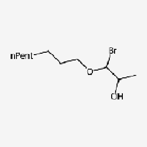 CCCCCCCCOC(Br)C(C)O